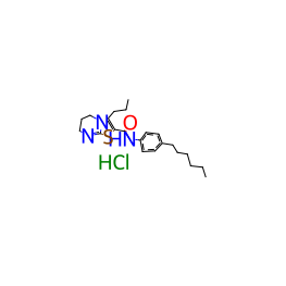 CCCCCCc1ccc(NC(=O)C2=C(CCC)N3CCCN=C3S2)cc1.Cl